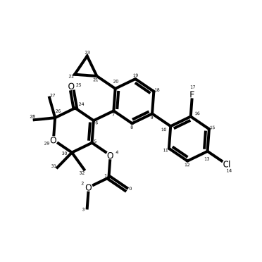 C=C(OC)OC1=C(c2cc(-c3ccc(Cl)cc3F)ccc2C2CC2)C(=O)C(C)(C)OC1(C)C